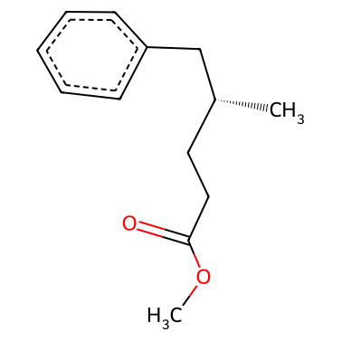 COC(=O)CC[C@@H](C)Cc1ccccc1